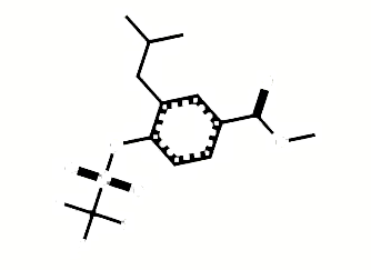 COC(=O)c1ccc(OS(=O)(=O)C(F)(F)F)c(CC(C)C)c1